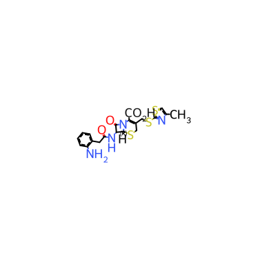 Cc1csc(SCC2=C(C(=O)O)N3C(=O)C(NC(=O)Cc4ccccc4N)[C@H]3SC2)n1